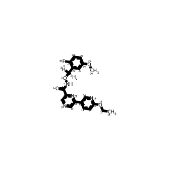 [2H]C([2H])(ONC(=O)c1cncc(-c2ccc(OCC)nc2)n1)c1cc(OC)ccc1F